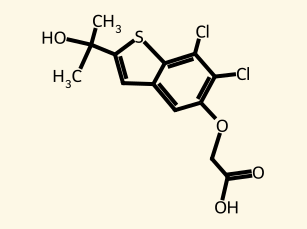 CC(C)(O)c1cc2cc(OCC(=O)O)c(Cl)c(Cl)c2s1